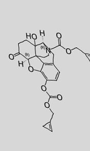 O=C(OCC1=CC1)Oc1ccc2c3c1O[C@H]1C(=O)CCC4(O)[C@@H](C2)N(C(=O)OCC2=CC2)CCC314